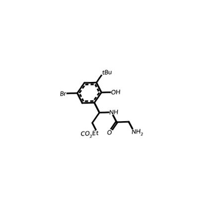 CCOC(=O)CC(NC(=O)CN)c1cc(Br)cc(C(C)(C)C)c1O